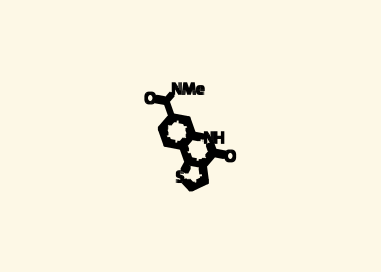 CNC(=O)c1ccc2c(c1)[nH]c(=O)c1ccsc12